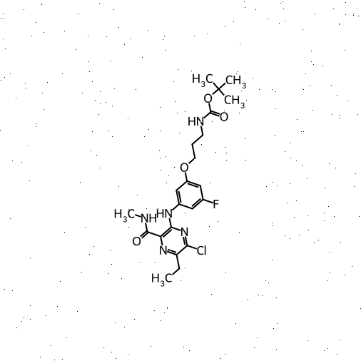 CCc1nc(C(=O)NC)c(Nc2cc(F)cc(OCCCNC(=O)OC(C)(C)C)c2)nc1Cl